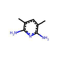 Cc1cc(C)c(N)nc1N